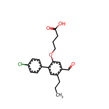 CCCc1cc(-c2ccc(Cl)cc2)c(OCCCC(=O)O)cc1C=O